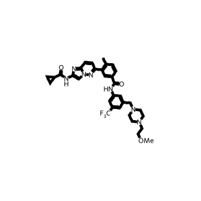 COCCN1CCN(Cc2cc(NC(=O)c3ccc(C)c(-c4ccc5nc(NC(=O)C6CC6)cn5n4)c3)cc(C(F)(F)F)c2)CC1